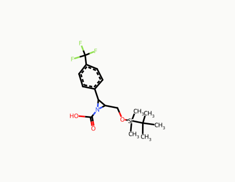 CC(C)(C)[Si](C)(C)OCC1C(c2ccc(C(F)(F)F)cc2)N1C(=O)O